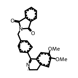 COc1cc2c(cc1OC)C(c1ccc(CN3C(=O)c4ccccc4C3=O)cc1)=N[C]C2